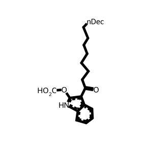 CCCCCCCCCCCCCCCCCC(=O)c1c(OC(=O)O)[nH]c2ccccc12